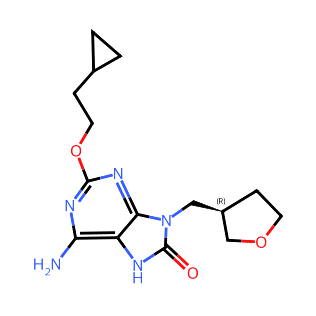 Nc1nc(OCCC2CC2)nc2c1[nH]c(=O)n2C[C@H]1CCOC1